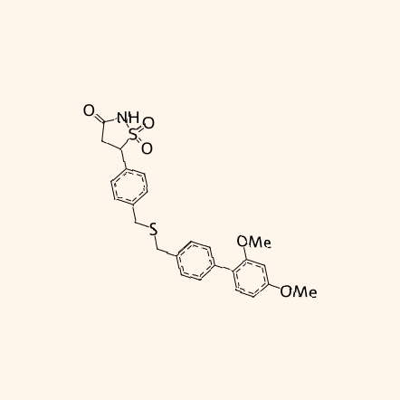 COc1ccc(-c2ccc(CSCc3ccc(C4CC(=O)NS4(=O)=O)cc3)cc2)c(OC)c1